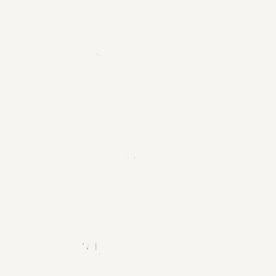 CCCCCC1(OCCCN)c2cc3ccccc3cc2C1C1CC1=O